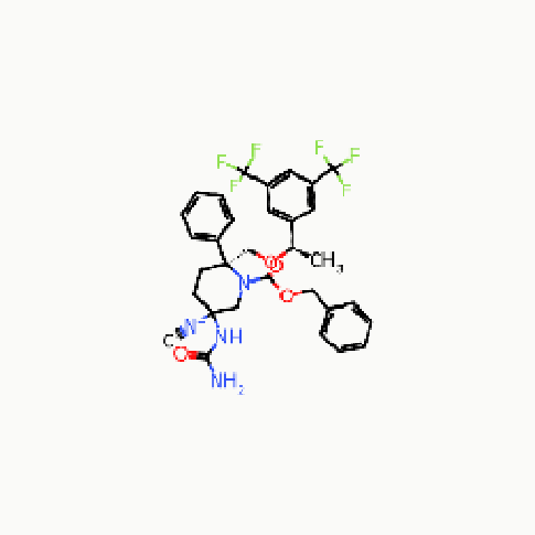 [C-]#[N+]C1(NC(N)=O)CC[C@@](CO[C@H](C)c2cc(C(F)(F)F)cc(C(F)(F)F)c2)(c2ccccc2)N(C(=O)OCc2ccccc2)C1